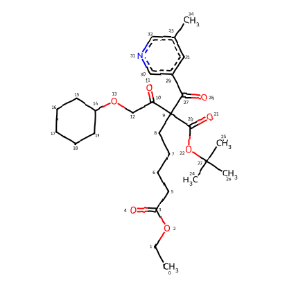 CCOC(=O)CCCCC(C(=O)COC1CCCCC1)(C(=O)OC(C)(C)C)C(=O)c1cncc(C)c1